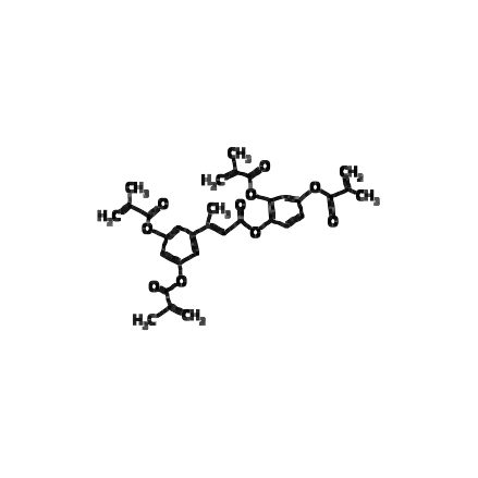 C=C(C)C(=O)Oc1cc(OC(=O)C(=C)C)cc(/C(C)=C/C(=O)Oc2ccc(OC(=O)C(=C)C)cc2OC(=O)C(=C)C)c1